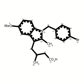 COc1ccc2c(c1)c(CC(C)CC(=O)O)c(C)n2Cc1ccc(Br)cc1